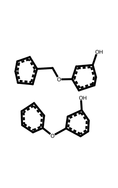 Oc1cccc(OCc2ccccc2)c1.Oc1cccc(Oc2ccccc2)c1